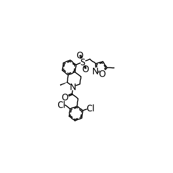 Cc1cc(CS(=O)(=O)c2cccc3c2CCN(C(=O)Cc2c(Cl)cccc2Cl)[C@H]3C)no1